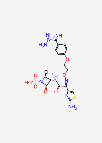 C[C@H]1[C@H](NC(=O)/C(=N\OCCOc2ccc(C(=N)N(N)N)cc2)c2csc(N)n2)C(=O)N1S(=O)(=O)O